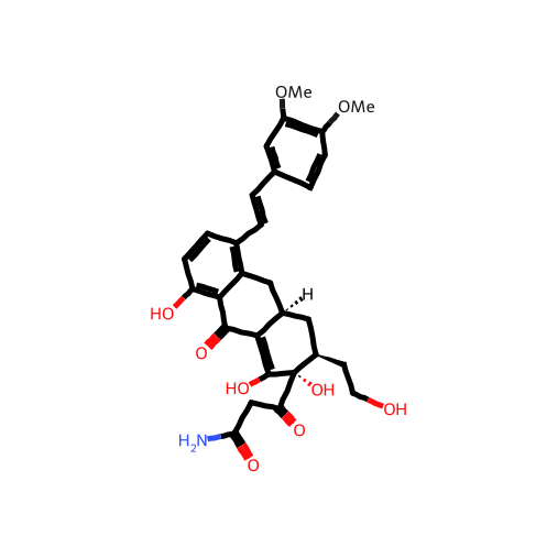 COc1ccc(/C=C/c2ccc(O)c3c2C[C@H]2C[C@@H](CCO)[C@@](O)(C(=O)CC(N)=O)C(O)=C2C3=O)cc1OC